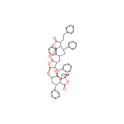 CC(CC(c1ccccc1)C1C(=O)OC(=O)C1CC(c1ccccc1)C1C(=O)OC(=O)C1CC(CC(c1ccccc1)C1C(=O)OC(=O)C1CCc1ccccc1)c1ccccc1)C(=O)OC=O